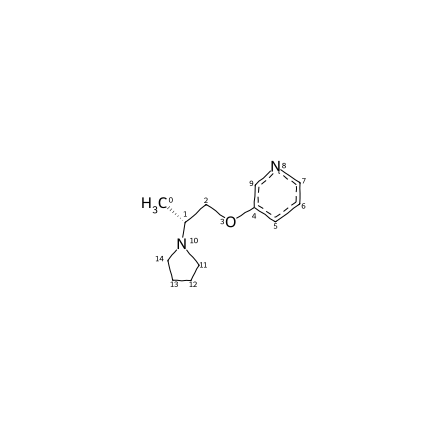 C[C@H](COc1cccnc1)N1CCCC1